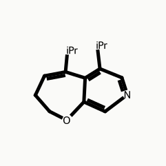 CC(C)C1=CCCOc2cncc(C(C)C)c21